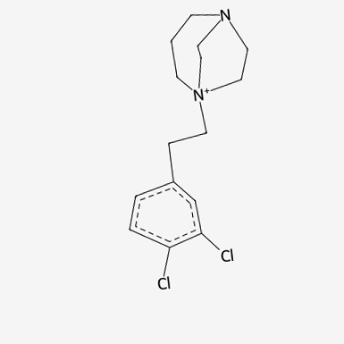 Clc1ccc(CC[N+]23CCCN(CC2)CC3)cc1Cl